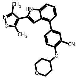 Cc1noc(C)c1-c1cc2c(-c3ccc(OC4CCOCC4)c(C#N)c3)cccc2[nH]1